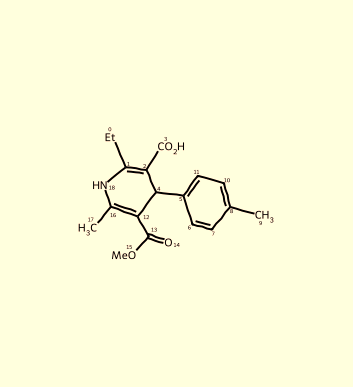 CCC1=C(C(=O)O)C(c2ccc(C)cc2)C(C(=O)OC)=C(C)N1